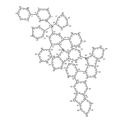 c1ccc(-c2cccc([Si](c3ccccc3)(c3ccccc3)c3cc(-c4ccccc4)c(-n4c5ccccc5c5cc(-n6c7ccccc7c7cccc(-c8ccccc8-c8ccc9c(c8)oc8ccccc89)c76)ccc54)c(-c4ccccc4)c3)c2)cc1